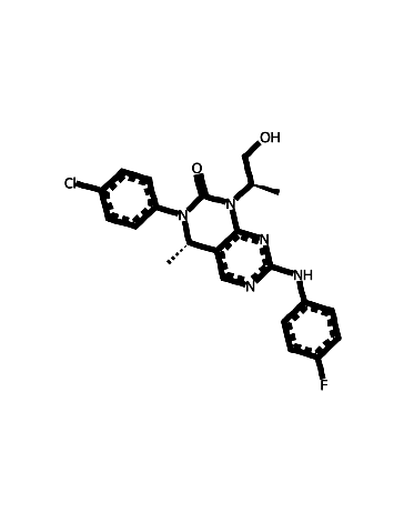 C[C@H](CO)N1C(=O)N(c2ccc(Cl)cc2)[C@@H](C)c2cnc(Nc3ccc(F)cc3)nc21